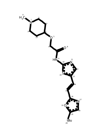 CN1CCC(OCC(=O)Nc2ncc(C=Cc3ncc(C(C)(C)C)o3)s2)CC1